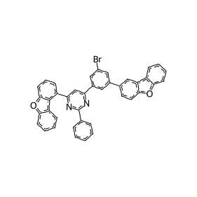 Brc1cc(-c2ccc3oc4ccccc4c3c2)cc(-c2cc(-c3cccc4oc5ccccc5c34)nc(-c3ccccc3)n2)c1